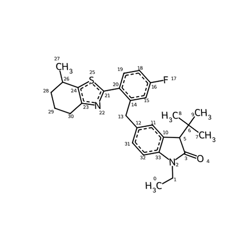 CCN1C(=O)C(C(C)(C)C)c2cc(Cc3cc(F)ccc3-c3nc4c(s3)C(C)CCC4)ccc21